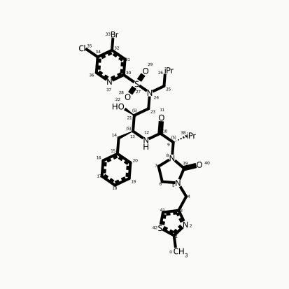 Cc1nc(CN2CCN([C@H](C(=O)N[C@@H](Cc3ccccc3)[C@@H](O)CN(CC(C)C)S(=O)(=O)c3cc(Br)c(Cl)cn3)C(C)C)C2=O)cs1